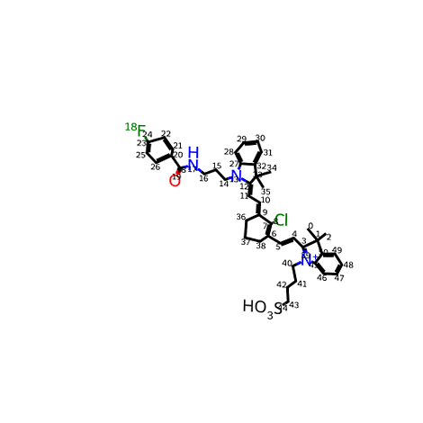 CC1(C)C(/C=C/C2=C(Cl)C(=C/C=C3/N(CCCNC(=O)c4ccc([18F])cc4)c4ccccc4C3(C)C)/CCC2)=[N+](CCCCS(=O)(=O)O)c2ccccc21